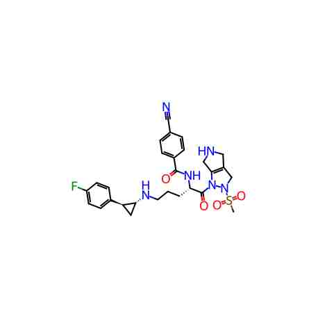 CS(=O)(=O)N1CC2=C(CNC2)N1C(=O)[C@H](CCCN[C@@H]1C[C@H]1c1ccc(F)cc1)NC(=O)c1ccc(C#N)cc1